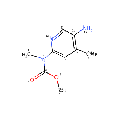 COc1cc(N(C)C(=O)OC(C)(C)C)ncc1N